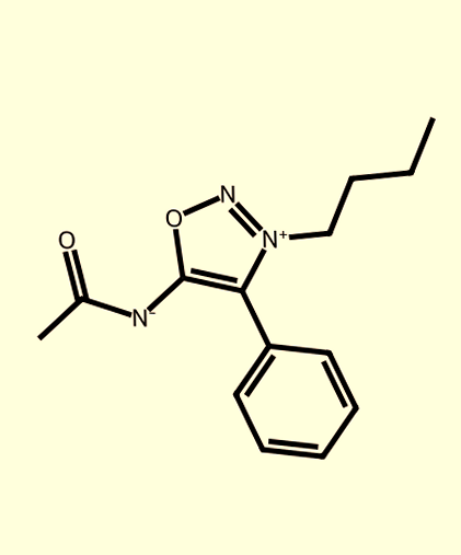 CCCC[n+]1noc([N-]C(C)=O)c1-c1ccccc1